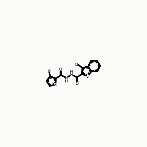 O=C(NNC(=O)c1sc2ccccc2c1Cl)c1sccc1Br